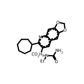 CCNC(N)=O.O=C(O)c1cc2cc3c(cc2nc1C1CCCCCC1)OCO3